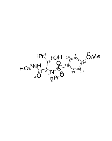 CCCN(C(C(=O)NO)C(O)C(C)C)S(=O)(=O)c1ccc(OC)cc1